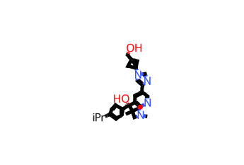 CC(C)c1ccc([C@](O)(c2cncc(-c3cn(C45CC(CO)(C4)C5)cn3)c2)C2(C)CN(C)C2)cc1